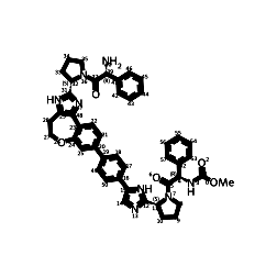 COC(=O)N[C@@H](C(=O)N1CCC[C@H]1c1ncc(-c2ccc(-c3ccc4c(c3)OCCc3[nH]c([C@@H]5CCCN5C(=O)[C@H](N)c5ccccc5)nc3-4)cc2)[nH]1)c1ccccc1